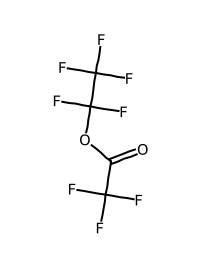 O=C(OC(F)(F)C(F)(F)F)C(F)(F)F